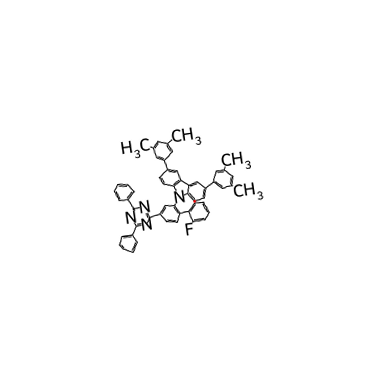 Cc1cc(C)cc(-c2ccc3c(c2)c2cc(-c4cc(C)cc(C)c4)ccc2n3-c2cc(-c3nc(-c4ccccc4)nc(-c4ccccc4)n3)ccc2-c2ccccc2F)c1